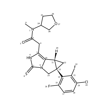 CN(C(=O)Cc1[nH]c(=S)n2c1[C@@H]1C[C@]1(c1c(F)ccc(Cl)c1F)C2)C1CCOC1